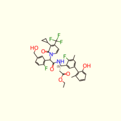 CCOC(=O)C[C@H](NC(=O)C(c1cc(CO)ccc1F)n1ccc(C(F)(F)F)c(C2CC2)c1=O)c1cc(-c2c(C)cccc2O)cc(C)c1F